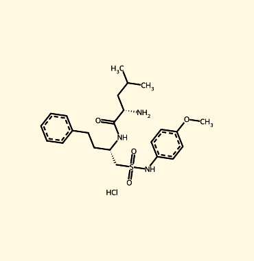 COc1ccc(NS(=O)(=O)C[C@H](CCc2ccccc2)NC(=O)[C@@H](N)CC(C)C)cc1.Cl